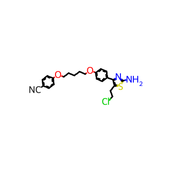 N#Cc1ccc(OCCCCCOc2ccc(-c3nc(N)sc3CCCl)cc2)cc1